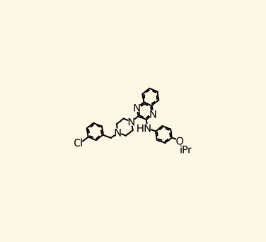 CC(C)Oc1ccc(Nc2nc3ccccc3nc2N2CCN(Cc3cccc(Cl)c3)CC2)cc1